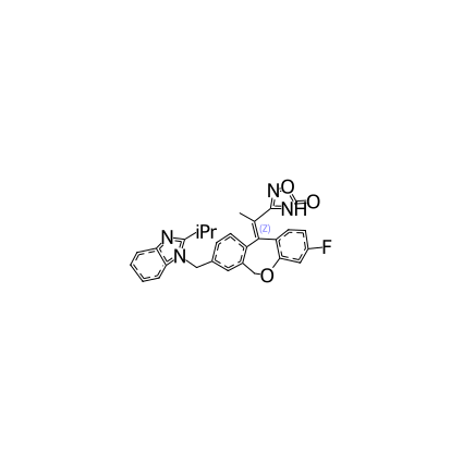 C/C(=C1\c2ccc(Cn3c(C(C)C)nc4ccccc43)cc2COc2cc(F)ccc21)c1noc(=O)[nH]1